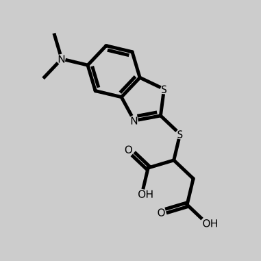 CN(C)c1ccc2sc(SC(CC(=O)O)C(=O)O)nc2c1